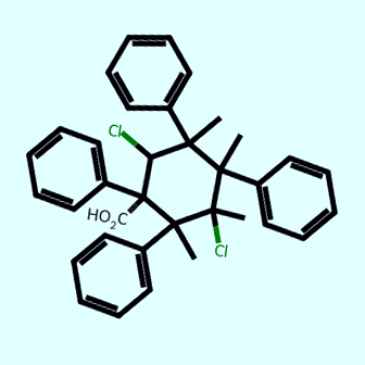 CC1(c2ccccc2)C(Cl)C(C(=O)O)(c2ccccc2)C(C)(c2ccccc2)C(C)(Cl)C1(C)c1ccccc1